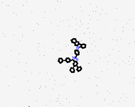 c1ccc(-c2ccc(-c3nc(-c4ccc(-n5c6ccccc6c6cc7ccccc7cc65)cc4)nc4cc(-c5ccccc5)c(-c5ccccc5)cc34)cc2)cc1